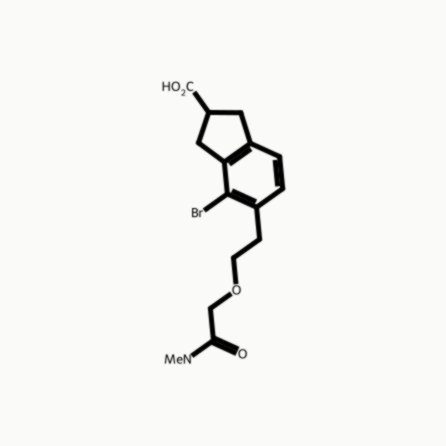 CNC(=O)COCCc1ccc2c(c1Br)CC(C(=O)O)C2